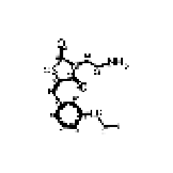 CCOc1cccc(C=C2SC(=O)N(CCN)C2=O)c1